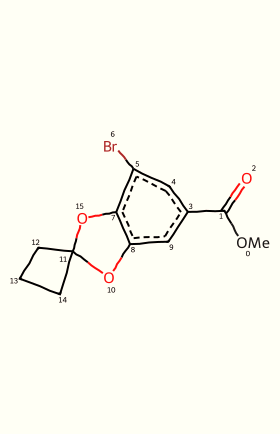 COC(=O)c1cc(Br)c2c(c1)OC1(CCC1)O2